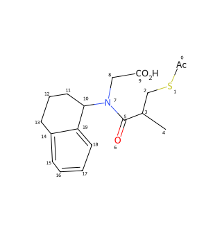 CC(=O)SCC(C)C(=O)N(CC(=O)O)C1CCCc2ccccc21